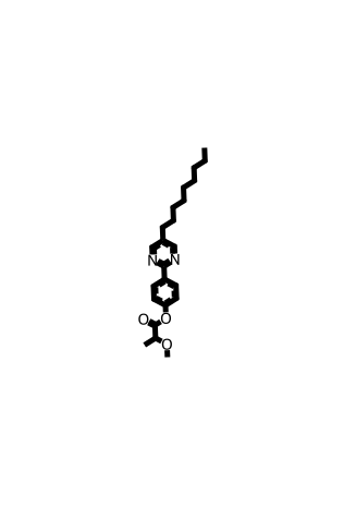 CCCCCCCCCc1cnc(-c2ccc(OC(=O)C(C)OC)cc2)nc1